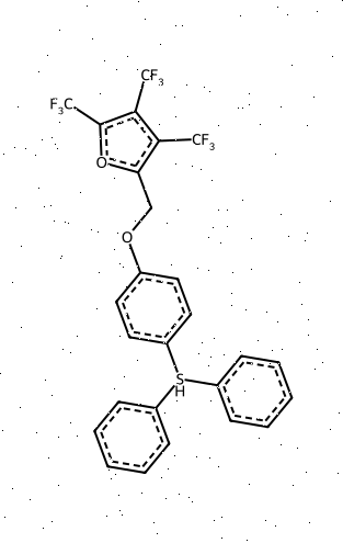 FC(F)(F)c1oc(COc2ccc([SH](c3ccccc3)c3ccccc3)cc2)c(C(F)(F)F)c1C(F)(F)F